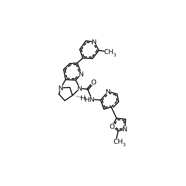 Cc1cc(-c2ccc3c(n2)N(C(=O)Nc2cc(-c4cnc(C)o4)ccn2)[C@H]2CCN3C2)ccn1